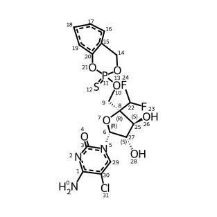 Nc1nc(=O)n([C@@H]2O[C@@](COP3(=S)OCc4ccccc4O3)(C(F)F)[C@@H](O)[C@@H]2O)cc1Cl